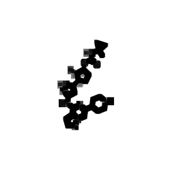 CC1(NC(=O)O[C@H]2CC[C@@H](c3cc(Nc4nc(C5CCNCC5)cn5nccc45)n[nH]3)[C@@H]2F)CC1